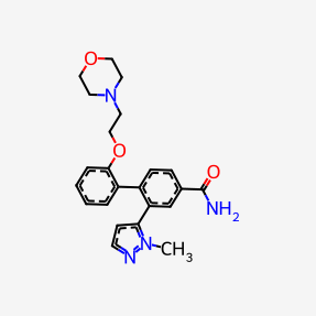 Cn1nccc1-c1cc(C(N)=O)ccc1-c1ccccc1OCCN1CCOCC1